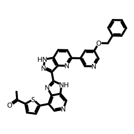 CC(=O)c1ccc(-c2cncc3[nH]c(-c4n[nH]c5ccc(-c6cncc(OCc7ccccc7)c6)nc45)nc23)s1